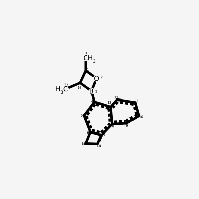 CC1OB(c2cc3c(c4ccccc24)CC3)C1C